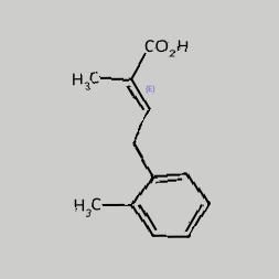 C/C(=C\Cc1ccccc1C)C(=O)O